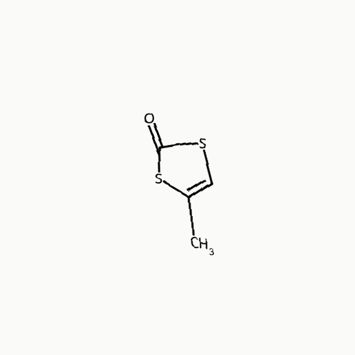 Cc1csc(=O)s1